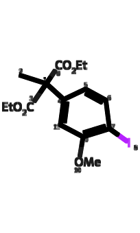 CCOC(=O)C(C)(C(=O)OCC)c1ccc(I)c(OC)c1